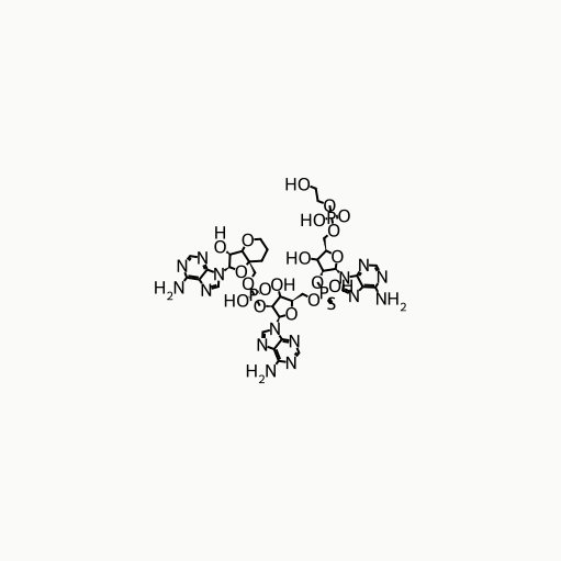 Nc1ncnc2c1ncn2[C@@H]1O[C@@]2(COP(=O)(O)O[C@H]3C(O)[C@@H](COP(O)(=S)O[C@H]4C(O)[C@@H](COP(=O)(O)OCCO)O[C@H]4n4cnc5c(N)ncnc54)O[C@H]3n3cnc4c(N)ncnc43)CCCOC2[C@@H]1O